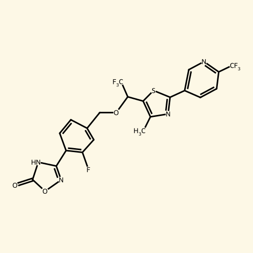 Cc1nc(-c2ccc(C(F)(F)F)nc2)sc1C(OCc1ccc(-c2noc(=O)[nH]2)c(F)c1)C(F)(F)F